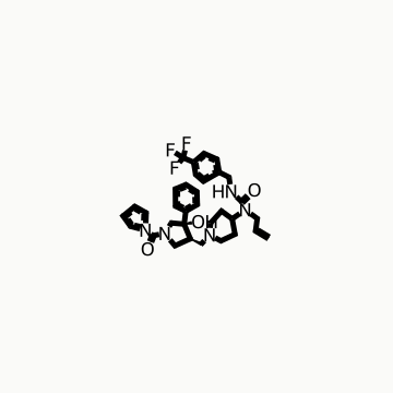 C=CCN(C(=O)NCc1ccc(C(F)(F)F)cc1)C1CCN(C[C@H]2CN(C(=O)n3cccc3)C[C@]2(O)c2ccccc2)CC1